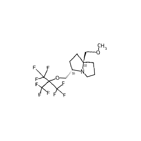 COC[C@@]12CCCN1[C@H](COC(C(F)(F)F)(C(F)(F)F)C(F)(F)F)CC2